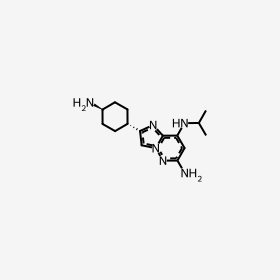 CC(C)Nc1cc(N)nn2cc([C@H]3CC[C@H](N)CC3)nc12